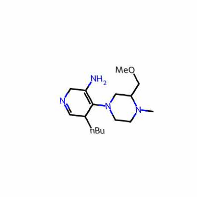 CCCCC1C=NCC(N)=C1N1CCN(C)C(COC)C1